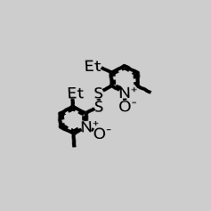 CCc1ccc(C)[n+]([O-])c1SSc1c(CC)ccc(C)[n+]1[O-]